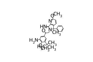 COc1ccc2c(n1)C(=N)N(CC(=O)c1cc(N)c(OC)c(C(C)(C)C)c1)C2(C)c1ccccc1